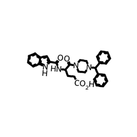 O=C(O)CCC(NC(=O)c1cc2ccccc2[nH]1)C(=O)N1CCN(C(c2ccccc2)c2ccccc2)CC1